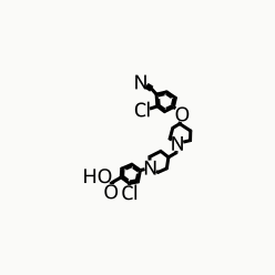 N#Cc1ccc(OC2CCN(CC3CCN(c4ccc(C(=O)O)c(Cl)c4)CC3)CC2)cc1Cl